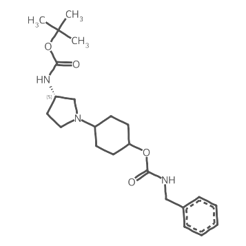 CC(C)(C)OC(=O)N[C@H]1CCN(C2CCC(OC(=O)NCc3ccccc3)CC2)C1